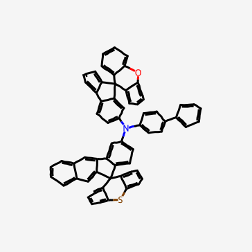 c1ccc(-c2ccc(N(c3ccc4c(c3)-c3cc5ccccc5cc3C43c4ccccc4Sc4ccccc43)c3ccc4c(c3)C3(c5ccccc5Oc5ccccc53)c3ccccc3-4)cc2)cc1